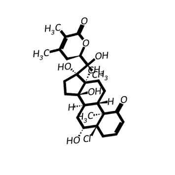 CC1=C(C)C(=O)O[C@@H]([C@](C)(O)[C@]2(O)CC[C@@]3(O)[C@@H]4C[C@@H](O)[C@@]5(Cl)CC=CC(=O)[C@]5(C)[C@H]4CC[C@]23C)C1